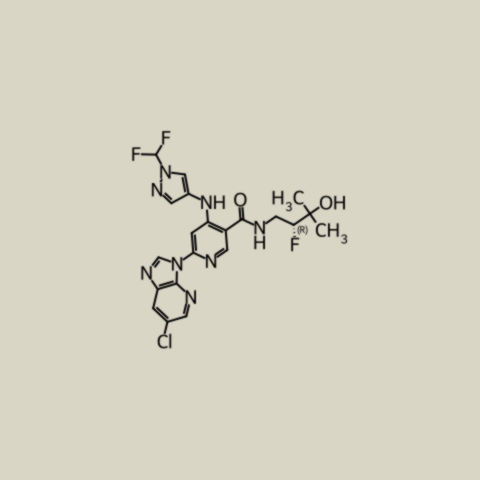 CC(C)(O)[C@H](F)CNC(=O)c1cnc(-n2cnc3cc(Cl)cnc32)cc1Nc1cnn(C(F)F)c1